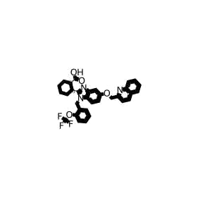 O=C(O)[C@H]1CCCC[C@H]1c1nc2cc(OCc3ccc4ccccc4n3)ccc2n1Cc1ccccc1OC(F)(F)F